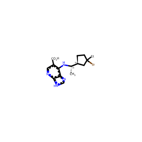 CCC1(Br)CC[C@H]([C@H](C)Nc2c(C(=O)O)cnc3[nH]cnc23)C1